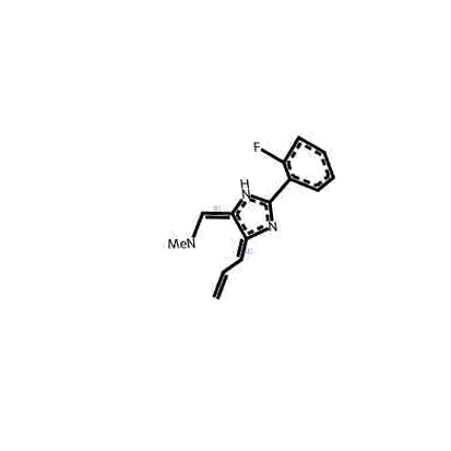 C=C/C=c1/nc(-c2ccccc2F)[nH]/c1=C/NC